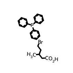 CC(CCBr)CC(=O)O.c1ccc(P(c2ccccc2)c2ccccc2)cc1